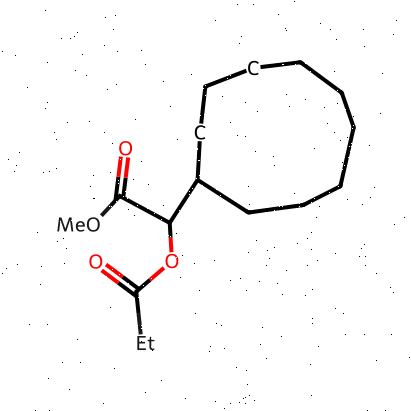 CCC(=O)OC(C(=O)OC)C1CCCCCCCCC1